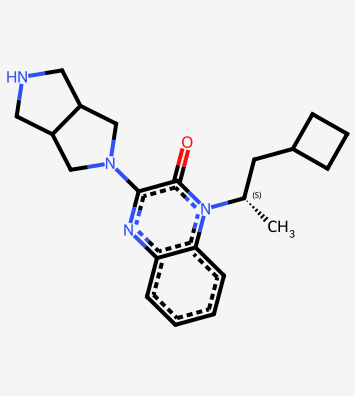 C[C@@H](CC1CCC1)n1c(=O)c(N2CC3CNCC3C2)nc2ccccc21